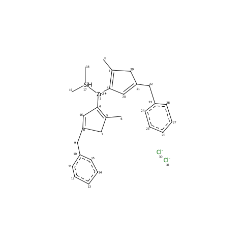 CC1=[C]([Zr+2]([C]2=C(C)CC(Cc3ccccc3)=C2)[SiH](C)C)C=C(Cc2ccccc2)C1.[Cl-].[Cl-]